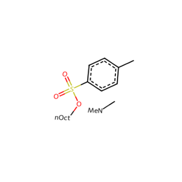 CCCCCCCCOS(=O)(=O)c1ccc(C)cc1.CNC